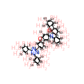 Bc1c(B)c(B)c(-c2nc(-c3c(B)c(B)c(B)c(B)c3B)nc(-c3c(B)c(B)c4c(oc5c(B)c(B)c(-n6c7c(B)c(B)c(B)c(B)c7c7c(B)c(B)c8c(oc9c(B)c(B)c(B)c(B)c98)c76)c(B)c54)c3B)n2)c(B)c1B